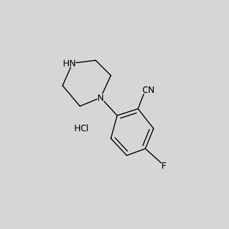 Cl.N#Cc1cc(F)ccc1N1CCNCC1